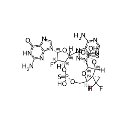 Nc1nc2c(ncn2[C@@H]2O[C@@H]3COP(O)(=S)O[C@H]4[C@H](n5nnc6c(N)ncnc65)O[C@H](COP(O)(=S)O[C@H]3[C@H]2F)[C@@]42CC2(F)F)c(=O)[nH]1